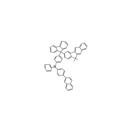 CC1(C)c2ccc(C3(c4ccc(N(c5ccccc5)c5ccc(-c6ccc7ccccc7c6)cc5)cc4)c4ccccc4-c4ccccc43)cc2-c2cc3ccccc3cc21